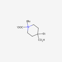 CCC1(C(=O)O)CC[N+](C(=O)[O-])(C(C)(C)C)CC1